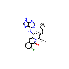 C=C/C=C\C=C(/C)n1c([C@H](C)Nc2ncnc3[nH]cnc23)cc2cccc(Cl)c2c1=O